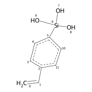 C=Cc1ccc([Si](O)(O)O)cc1